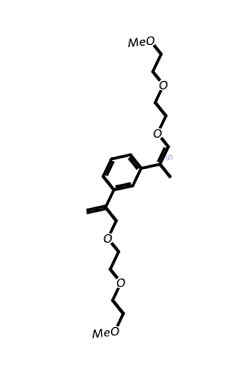 C=C(COCCOCCOC)c1cccc(/C(C)=C\OCCOCCOC)c1